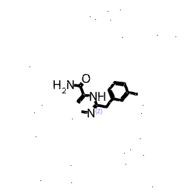 C=C(N/C(Cc1cccc(C)c1)=N\C)C(N)=O